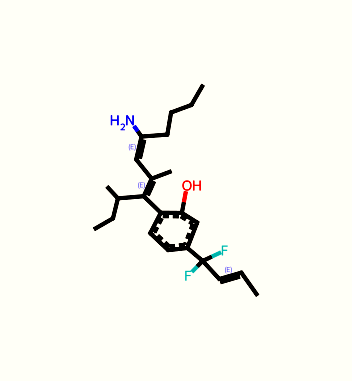 C/C=C/C(F)(F)c1ccc(/C(=C(C)/C=C(/N)CCCC)C(C)CC)c(O)c1